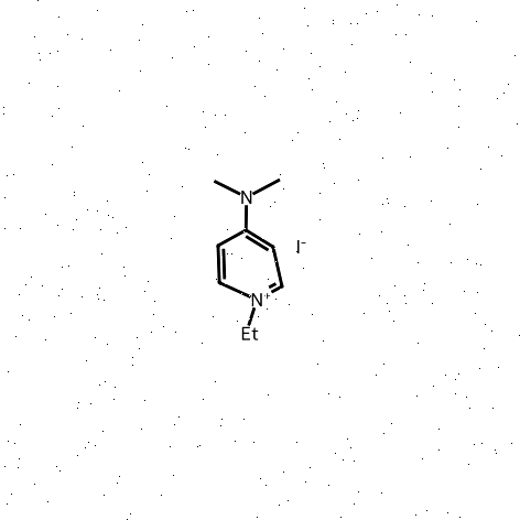 CC[n+]1ccc(N(C)C)cc1.[I-]